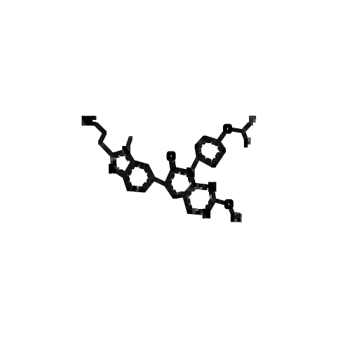 CCOc1ncc2cc(-c3ccc4nc(CCC#N)n(C)c4c3)c(=O)n(-c3ccc(OC(F)F)cc3)c2n1